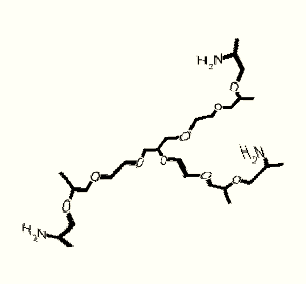 CC(N)COC(C)COCCOCC(COCCOCC(C)OCC(C)N)OCCOCC(C)OCC(C)N